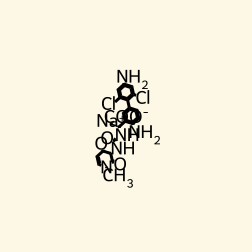 CN1C=CC(=O)C(NC(=O)N[C@@H](CC(=O)[O-])c2cc(-c3c(Cl)cc(N)cc3Cl)ccc2N)C1=O.[Na+]